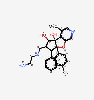 COc1cncc2c1[C@]1(O)[C@H](O)C(CNCCN)C(c3ccccc3)C1(c1ccc(C#N)cc1)O2